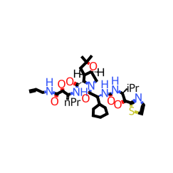 C=CCNC(=O)C(=O)C(CCC)NC(=O)[C@@H]1[C@H]2CC(C)(C)O[C@H]2CN1C(=O)[C@@H](NC(=O)N[C@H](C(=O)c1nccs1)C(C)C)C1CCCCC1